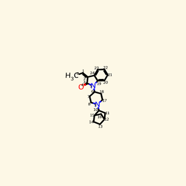 CC=C1C(=O)N(C2CCN(C3CC4CCC3C4)CC2)c2ccccc21